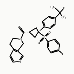 O=C([C@H]1C[C@@](c2ccc(C(F)(C(F)(F)F)C(F)(F)F)cc2)(S(=O)(=O)c2ccc(F)cc2)C1)N1CCc2ccncc2C1